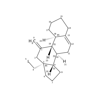 C=C1C[C@]2(CI)CCC[C@H]2[C@@H]2CC=C3CCCC[C@@H]3[C@@H]12